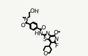 COc1nc(F)c(C2CCOCC2)c2sc(NC(=O)c3ccc(C(=O)N(C)CCO)cc3)nc12